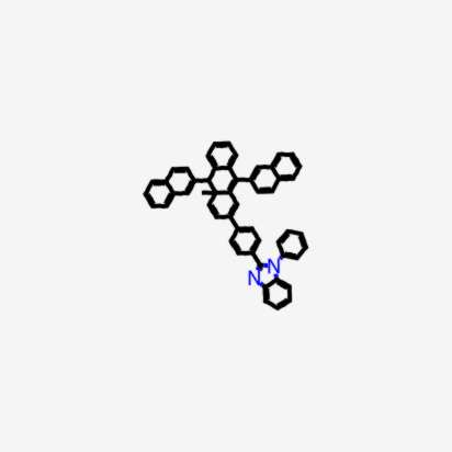 CC12C=CC(c3ccc(-c4nc5ccccc5n4-c4ccccc4)cc3)=CC1=C(c1ccc3ccccc3c1)c1ccccc1C2c1ccc2ccccc2c1